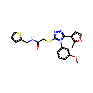 COc1cccc(-n2c(SCC(=O)NCc3cccs3)nnc2-c2ccoc2C)c1